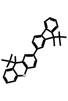 CC(C)(C)C1(C)c2ccccc2Oc2ccc(-c3ccc4c(c3)C(C)(C(C)(C)C)c3ccccc3-4)cc21